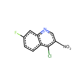 O=[N+]([O-])c1cnc2cc(F)ccc2c1Cl